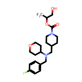 O=C(OC(CO)C(F)(F)F)N1CCC(CN(Cc2ccc(F)cc2)C2CCOCC2)CC1